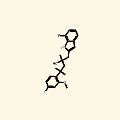 COc1cc(F)ccc1C(C)(C)CC(C)(O)Cc1cc2cccc(F)c2[nH]1